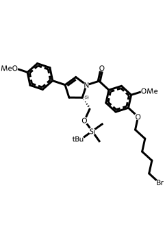 COc1ccc(C2=CN(C(=O)c3ccc(OCCCCCBr)c(OC)c3)[C@H](CO[Si](C)(C)C(C)(C)C)C2)cc1